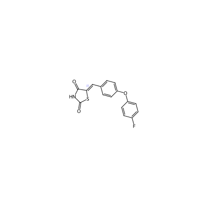 O=C1NC(=O)/C(=C/c2ccc(Oc3ccc(F)cc3)cc2)S1